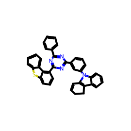 C1=Cc2c(c3ccccc3n2-c2cccc(-c3nc(-c4ccccc4)nc(-c4cccc5sc6ccccc6c45)n3)c2)CC1